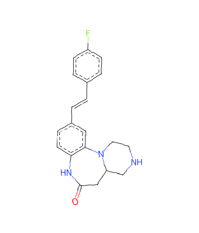 O=C1CC2CNCCN2c2cc(C=Cc3ccc(F)cc3)ccc2N1